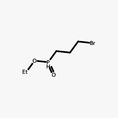 CCO[PH](=O)CCCBr